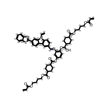 C=CC(=O)OCCCCOC(=O)C1CCC(C(=O)Oc2ccc(OC(O)C3CCC(C(=O)OCCCCOC(=O)C=C)CC3)c(/N=C/c3ccc4c(c3)c3ccc(-c5nc6ccccc6s5)cc3n4C=C)c2)CC1